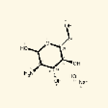 N[C@H]1C(O)O[C@H](CO)[C@@H](O)[C@@H]1O.[Na+].[OH-]